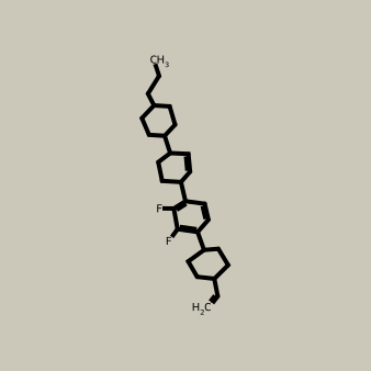 C=CC1CCC(c2ccc(C3C=CC(C4CCC(CCC)CC4)CC3)c(F)c2F)CC1